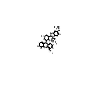 CN=S(=O)(NC1CNCC(N2c3ccccc3Sc3c2cccc3C(F)(F)F)C1O)c1ccc(OC(F)(F)F)cc1